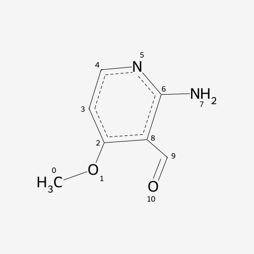 COc1ccnc(N)c1C=O